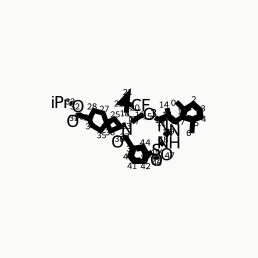 Cc1cccc(C)c1-c1nc2nc(c1C)OC[C@@H](CC1(C(F)(F)F)CC1)N(C1CC3(CCC(C(=O)OC(C)C)CC3)C1)C(=O)c1cccc(c1)S(=O)(=O)N2